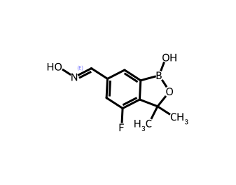 CC1(C)OB(O)c2cc(/C=N/O)cc(F)c21